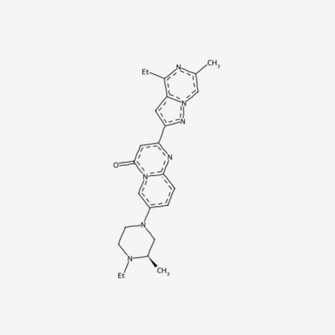 CCc1nc(C)cn2nc(-c3cc(=O)n4cc(N5CCN(CC)[C@H](C)C5)ccc4n3)cc12